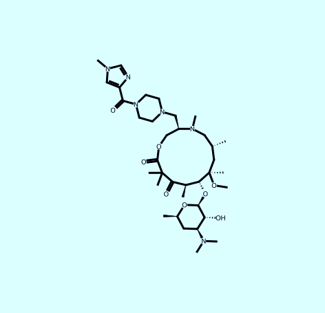 CO[C@]1(C)C[C@@H](C)CN(C)[C@H](CN2CCN(C(=O)c3cn(C)cn3)CC2)COC(=O)C(C)(C)C(=O)[C@H](C)[C@H]1O[C@@H]1O[C@H](C)C[C@H](N(C)C)[C@H]1O